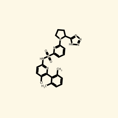 Cc1cccc(C)c1-c1nc(NS(=O)(=O)c2cccc(N3CCCC3c3nnn[nH]3)n2)ccc1Cl